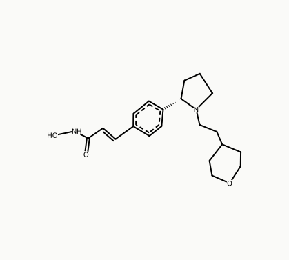 O=C(/C=C/c1ccc([C@@H]2CCCN2CCC2CCOCC2)cc1)NO